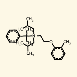 Cc1ccccc1OCC[N+](CC(C)C)(CC(C)C)C(C)(C)c1ccccc1